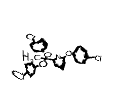 CC(Oc1ccc(Cl)cc1)(Oc1ccc(Cl)cc1)c1cccc(Oc2ccc(Cl)cc2)n1